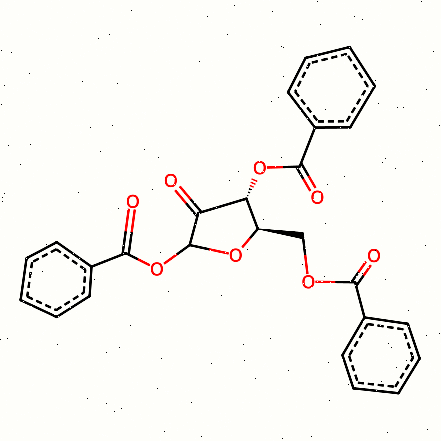 O=C(OC[C@H]1OC(OC(=O)c2ccccc2)C(=O)[C@@H]1OC(=O)c1ccccc1)c1ccccc1